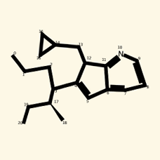 CCCC(C1=Cc2cccnc2C1CC1CC1)[C@@H](C)CC